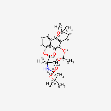 CC(=O)Oc1c2c(c3ccccc3c1OC(=O)C(C)(C)NC(=O)OC(C)(C)C)OC(C)(C)CC2